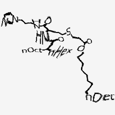 CCCCCCCCCCCCCCCCCCOC(=O)CCSCCC(NC(=O)C(CCCCCC)CCCCCCCC)C(=O)NCCCn1ccnc1